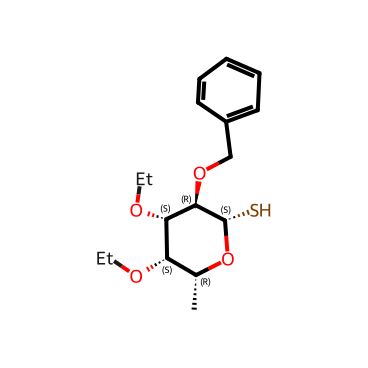 CCO[C@@H]1[C@@H](OCc2ccccc2)[C@H](S)O[C@H](C)[C@@H]1OCC